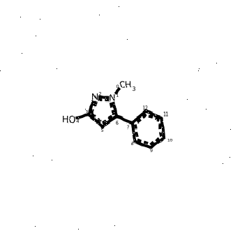 Cn1nc(O)cc1-c1ccccc1